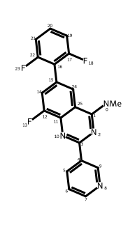 CNc1nc(-c2cccnc2)nc2c(F)cc(-c3c(F)cccc3F)cc12